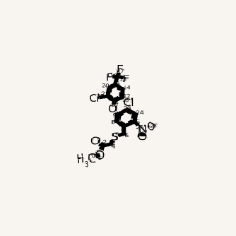 COC(=O)CSCc1cc(Oc2c(Cl)cc(C(F)(F)F)cc2Cl)ccc1[N+](=O)[O-]